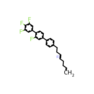 C=CCC/C=C/CCc1ccc(-c2ccc(-c3cc(F)c(F)c(F)c3)c(F)c2)cc1